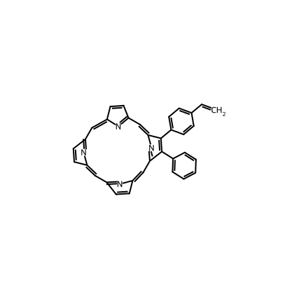 C=Cc1ccc(C2=C(c3ccccc3)C3=NC2=CC2=NC(=CC4=NC(=CC5=NC(=C3)C=C5)C=C4)C=C2)cc1